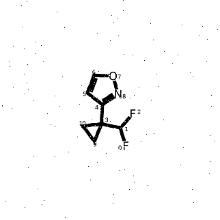 FC(F)C1(c2ccon2)CC1